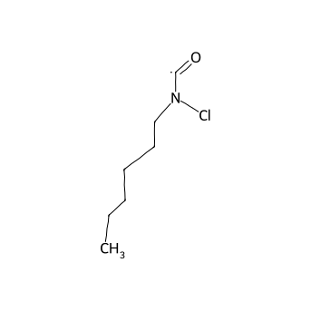 CCCCCCN(Cl)[C]=O